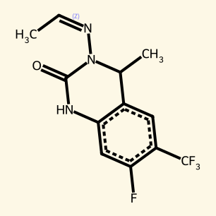 C/C=N\N1C(=O)Nc2cc(F)c(C(F)(F)F)cc2C1C